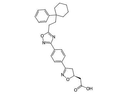 O=C(O)C[C@@H]1CC(c2ccc(-c3noc(CCC4(c5ccccc5)CCCCC4)n3)cc2)=NO1